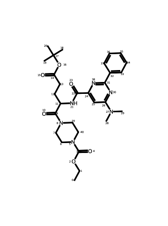 CCOC(=O)N1CCN(C(=O)C(CCC(=O)OC(C)(C)C)NC(=O)c2cc(N(C)C)nc(-c3ccccc3)n2)CC1